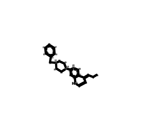 CCC=C1C=CNc2cc(N3CCN(Cc4ccccc4)CC3)ncc21